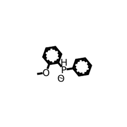 COc1ccccc1[PH](=O)c1ccccc1